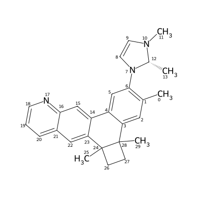 Cc1cc2c(cc1N1C=CN(C)[C@@H]1C)-c1cc3ncccc3cc1C1(C)CCC21C